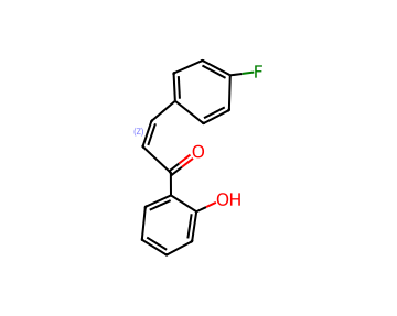 O=C(/C=C\c1ccc(F)cc1)c1ccccc1O